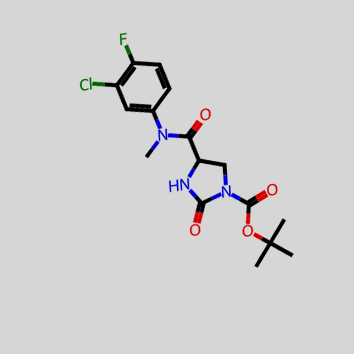 CN(C(=O)C1CN(C(=O)OC(C)(C)C)C(=O)N1)c1ccc(F)c(Cl)c1